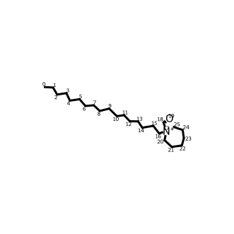 CCCCCCCCCCCCCCCCC[N+]1(C=O)CCCCCC1